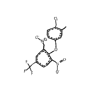 Cc1cc(Oc2c([N+](=O)[O-])cc(C(F)(F)F)cc2[N+](=O)[O-])ccc1Cl